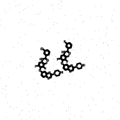 O=C(Nc1cc(F)c(Oc2ccc3ncc(N4CCNCC4)nc3c2)c(F)c1F)c1cccc(Cl)c1.O=C(Nc1cc(F)c(Oc2ccc3ncc(N4CCNCC4)nc3c2)c(F)c1F)c1cccc(F)c1